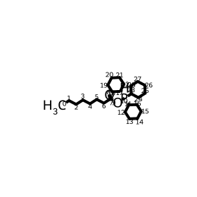 CCCCCCCC(=O)O[PH](C1CCCCC1)(C1CCCCC1)C1CCCCC1